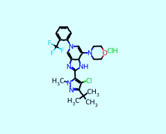 Cl.Cn1nc(C(C)(C)C)c(Cl)c1C1=NC2=CN(c3ccccc3C(F)(F)F)C=C(N3CCOCC3)C2N1